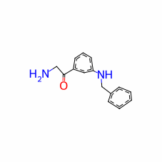 NCC(=O)c1cccc(NCc2ccccc2)c1